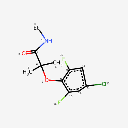 CCNC(=O)C(C)(C)Oc1c(F)cc(Cl)cc1F